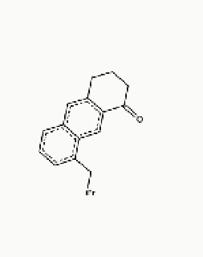 CC(C)Cc1cccc2cc3c(cc12)C(=O)CCC3